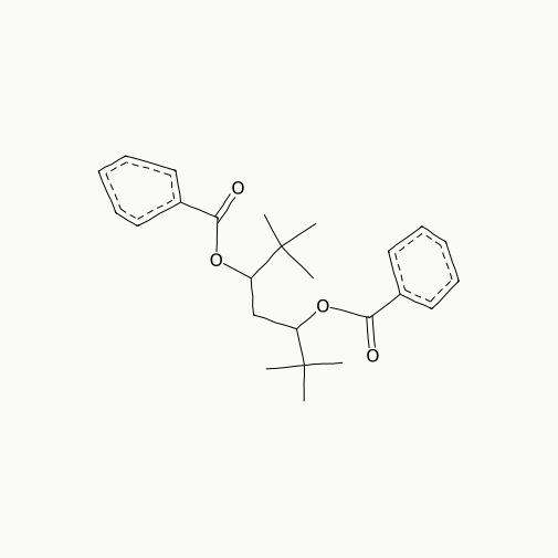 CC(C)(C)C(CC(OC(=O)c1ccccc1)C(C)(C)C)OC(=O)c1ccccc1